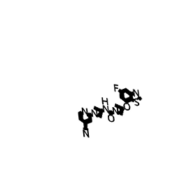 N#Cc1ccnc(N2CC(NC(=O)N3CC(Oc4cc(F)cc5ncsc45)C3)C2)c1